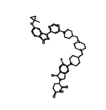 CC1(Oc2ccc3[nH]nc(-c4cc(N5CCC(CN6CCN(CC7CCN(c8cc9c(cc8F)C(=O)N(C8CCC(=O)NC8=O)C9)CC7)CC6)CC5)ncn4)c3c2)CC1